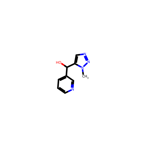 Cn1nncc1C(O)c1cccnc1